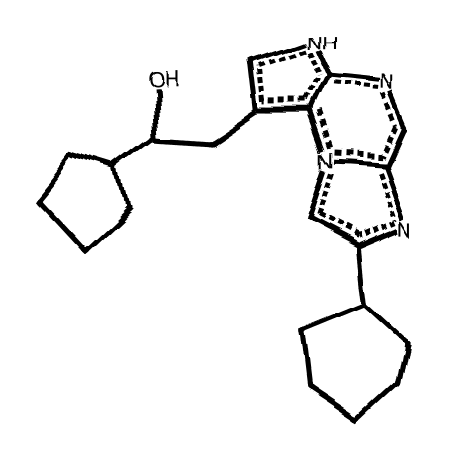 OC(Cc1c[nH]c2ncc3nc(C4CCCCC4)cn3c12)C1CCCC1